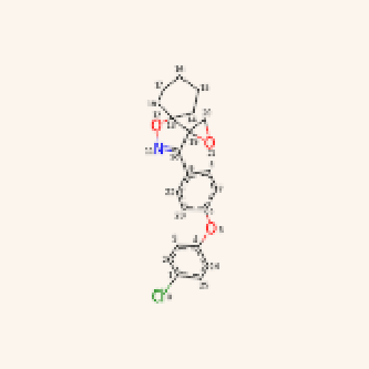 Clc1ccc(Oc2ccc(C3=NOC4(CCCCC4)C34CO4)cc2)cc1